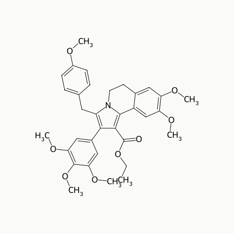 CCOC(=O)c1c(-c2cc(OC)c(OC)c(OC)c2)c(Cc2ccc(OC)cc2)n2c1-c1cc(OC)c(OC)cc1CC2